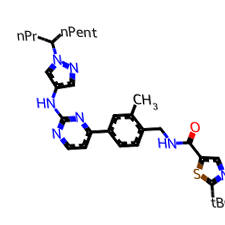 CCCCCC(CCC)n1cc(Nc2nccc(-c3ccc(CNC(=O)c4cnc(C(C)(C)C)s4)c(C)c3)n2)cn1